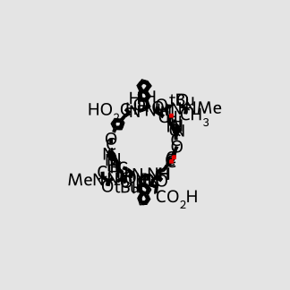 CN[C@@H](C)C(=O)N[C@H](C(=O)N1C[C@@H]2C[C@H]1C(=O)N[C@@H](Cc1ccc3ccccc3c1)C(=O)N[C@H](C(=O)O)Cc1ccc(cc1)OCc1cn(nn1)[C@H]1C[C@@H](C(=O)N[C@@H](Cc3ccc4ccccc4c3)C(=O)N[C@H](C(=O)NCCCC(=O)O)Cc3ccc(cc3)OCc3cn2nn3)N(C(=O)[C@@H](NC(=O)[C@H](C)NC)C(C)(C)C)C1)C(C)(C)C